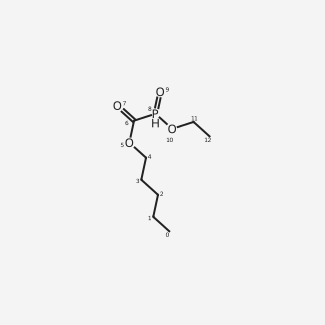 CCCCCOC(=O)[PH](=O)OCC